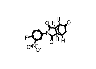 O=C1C[C@H]2CC[C@@H]1[C@H]1C(=O)N(c3ccc(F)c([N+](=O)[O-])c3)C(=O)[C@@H]21